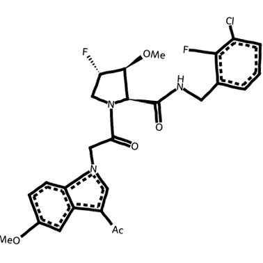 COc1ccc2c(c1)c(C(C)=O)cn2CC(=O)N1C[C@H](F)[C@@H](OC)[C@H]1C(=O)NCc1cccc(Cl)c1F